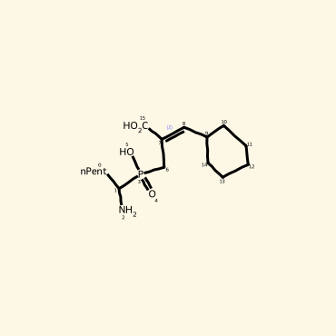 CCCCCC(N)P(=O)(O)C/C(=C\C1CCCCC1)C(=O)O